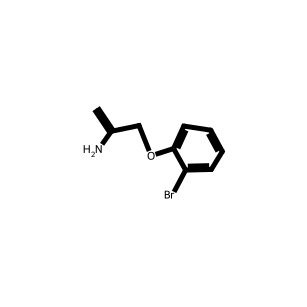 C=C(N)COc1ccccc1Br